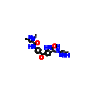 CCn1nc(C)cc1C(=O)Nc1ccc(C(=O)c2ccc3c(c2)NC(=O)/C3=C\Nc2cc(C)[nH]n2)cc1